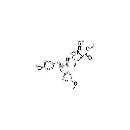 CCOC(=O)/C(=C/c1ccc(N(Cc2ccc(OC)cc2)Cc2ccc(OC)cc2)nc1Cl)N=[N+]=[N-]